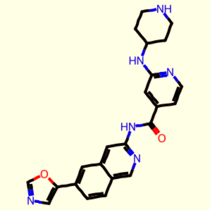 O=C(Nc1cc2cc(-c3cnco3)ccc2cn1)c1ccnc(NC2CCNCC2)c1